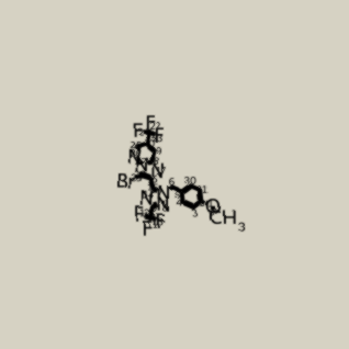 COc1ccc(Cn2nc(C(F)(F)F)nc2-c2nc3cc(C(F)(F)F)cnn3c2Br)cc1